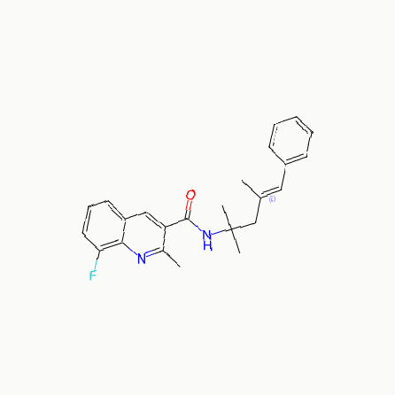 C/C(=C\c1ccccc1)CC(C)(C)NC(=O)c1cc2cccc(F)c2nc1C